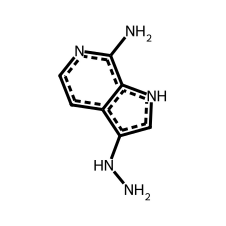 NNc1c[nH]c2c(N)nccc12